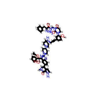 COc1ccc(C#CCNC2(C)CCN(C3CCN(c4nc([C@@](CO)(OC5CC5)c5ccccc5)c5cc(-c6cn(C)c(=O)c7[nH]ccc67)ccc5n4)CC3)CC2)cc1N1CCC(=O)N(CNC(=O)[C@@H](N)Cc2ccccc2)C1=O